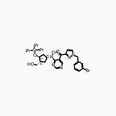 CC(C)[Si](O[C@H]1C[C@H](N(C)c2ncncc2C(=O)c2ccn(Cc3cccc(Br)c3)n2)C[C@@H]1CO)(C(C)C)C(C)C